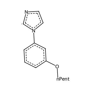 CCCCCOc1cccc(-n2[c]ncc2)c1